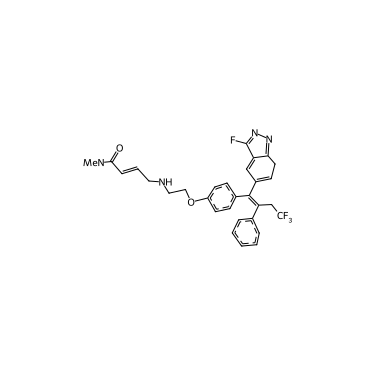 CNC(=O)/C=C/CNCCOc1ccc(/C(C2=CCC3=NN=C(F)C3=C2)=C(/CC(F)(F)F)c2ccccc2)cc1